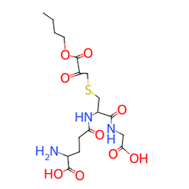 CCCCOC(=O)C(=O)CSCC(NC(=O)CCC(N)C(=O)O)C(=O)NCC(=O)O